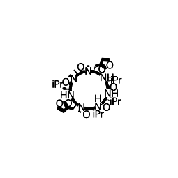 CC(C)C[C@@H]1NC(=O)[C@H](Cc2ccoc2)N(C)C(=O)[C@H](C(C)C)NC(=O)[C@@H](C(C)C)NC(=O)[C@@H](C(C)C)NC(=O)[C@@H](Cc2ccoc2)N(C)C(=O)[C@H](C)N(C)C1=O